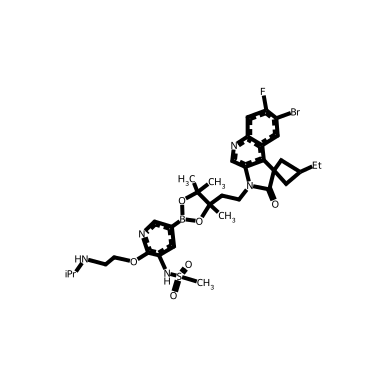 CCC1CC2(C1)C(=O)N(CCC1(C)OB(c3cnc(OCCNC(C)C)c(NS(C)(=O)=O)c3)OC1(C)C)c1cnc3cc(F)c(Br)cc3c12